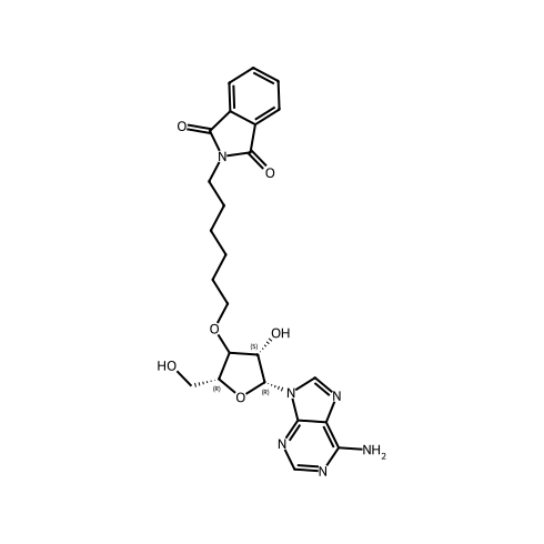 Nc1ncnc2c1ncn2[C@@H]1O[C@H](CO)C(OCCCCCCN2C(=O)c3ccccc3C2=O)[C@@H]1O